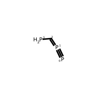 P#P=CP